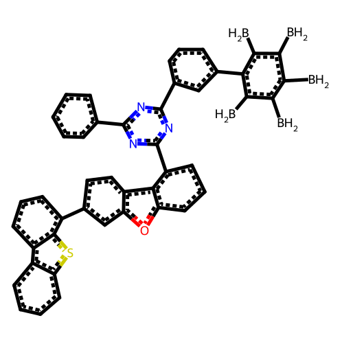 Bc1c(B)c(B)c(-c2cccc(-c3nc(-c4ccccc4)nc(-c4cccc5oc6cc(-c7cccc8c7sc7ccccc78)ccc6c45)n3)c2)c(B)c1B